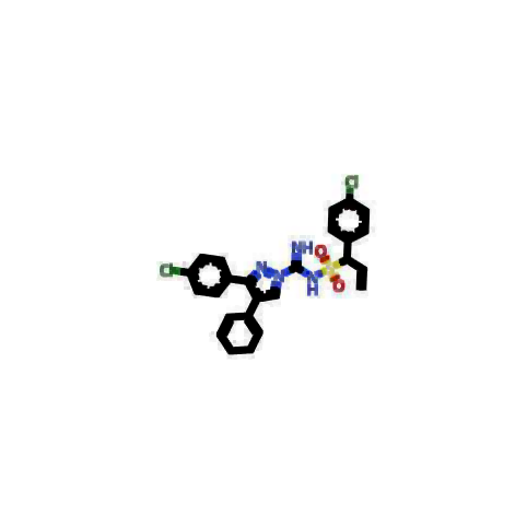 C=CC(c1ccc(Cl)cc1)S(=O)(=O)NC(=N)n1cc(C2=CCCC=C2)c(-c2ccc(Cl)cc2)n1